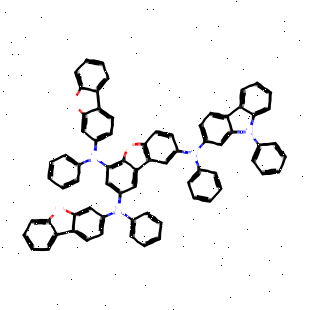 c1ccc(N(c2ccc3c(c2)oc2ccccc23)c2cc(N(c3ccccc3)c3ccc4c(c3)oc3ccccc34)c3oc4ccc(N(c5ccccc5)c5ccc6c7ccccc7n(-c7ccccc7)c6c5)cc4c3c2)cc1